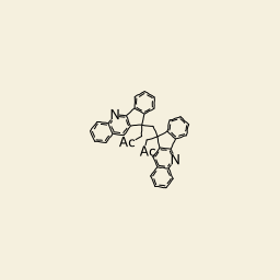 CC(=O)CC1(CC2(CC(C)=O)c3ccccc3-c3nc4ccccc4cc32)c2ccccc2-c2nc3ccccc3cc21